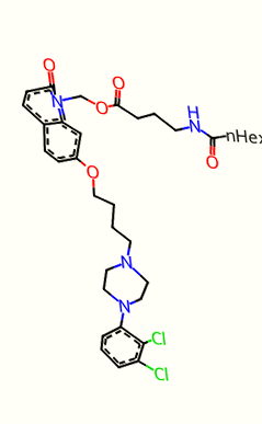 CCCCCCC(=O)NCCCC(=O)OCn1c(=O)ccc2ccc(OCCCCN3CCN(c4cccc(Cl)c4Cl)CC3)cc21